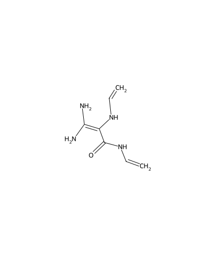 C=CNC(=O)C(NC=C)=C(N)N